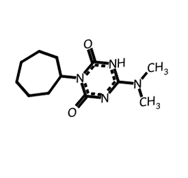 CN(C)c1nc(=O)n(C2CCCCCC2)c(=O)[nH]1